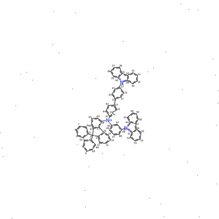 c1ccc(C2(c3ccccc3)c3ccccc3-c3c(N(c4ccc(-c5ccc(-n6c7ccccc7c7ccccc76)cc5)cc4)c4cccc(-n5c6ccccc6c6ccccc65)c4)cccc32)cc1